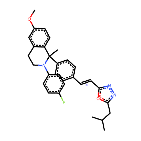 COc1ccc2c(c1)CCN(c1ccc(F)cc1)C2(C)c1ccc(/C=C/c2nnc(CC(C)C)o2)cc1